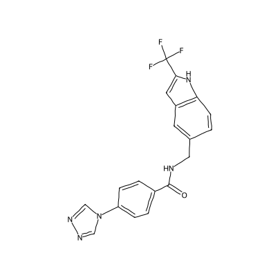 O=C(NCc1ccc2[nH]c(C(F)(F)F)cc2c1)c1ccc(-n2cnnc2)cc1